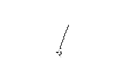 CCCCCCCCCCCCCCCC(=O)On1ccc(N)nc1=O